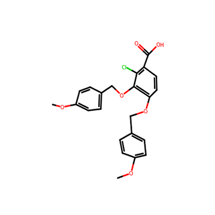 COc1ccc(COc2ccc(C(=O)O)c(Cl)c2OCc2ccc(OC)cc2)cc1